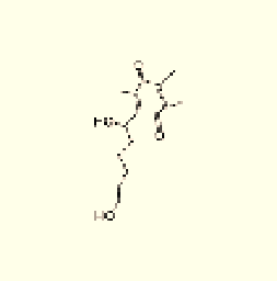 CC1=C(C)C(=O)C(C(O)CCCCCO)=C(C)C1=O